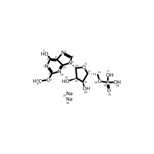 COc1nc(O)c2ncn([C@@H]3O[C@H](COP(=O)(O)O)[C@@H](O)[C@H]3O)c2n1.[Na].[Na]